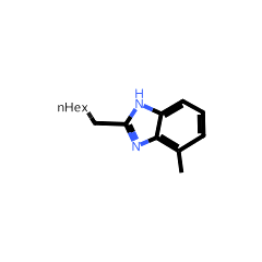 CCCCCCCc1nc2c(C)cccc2[nH]1